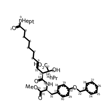 CCCCCCCC(=O)CCCCCC/C=C/[C@H](C(=O)N[C@@H](Cc1ccc(OCc2ccccc2)cc1)C(=O)OC)[C@@](O)(CCC)C(=O)O